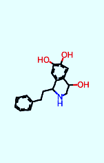 Oc1cc2c(cc1O)C(CCc1ccccc1)NCC2O